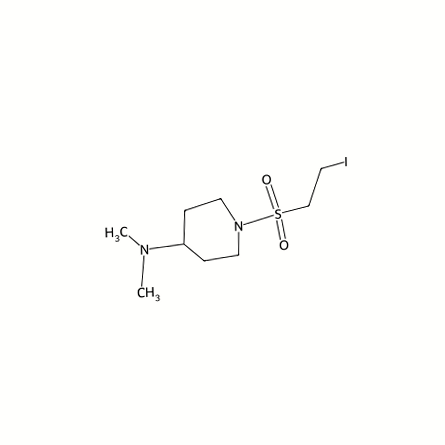 CN(C)C1CCN(S(=O)(=O)CCI)CC1